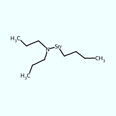 CCC[CH2][Sn][N](CCC)CCC